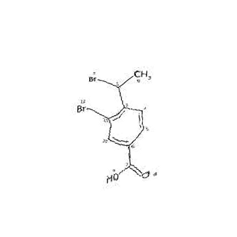 CC(Br)c1ccc(C(=O)O)cc1Br